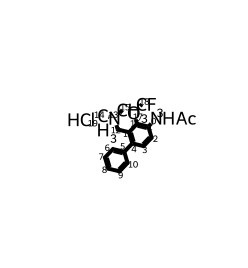 CC(=O)Nc1ccc(-c2ccccc2)c(CN(C)C)c1OC(F)(F)F.Cl